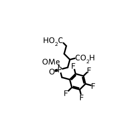 COP(=O)(Cc1c(F)c(F)c(F)c(F)c1F)CC(CCC(=O)O)C(=O)O